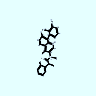 Cc1ccccc1C(C)C(=O)N(C)c1cnc2c(-c3cccc(Cl)c3Cl)c(C)ccc2c1C